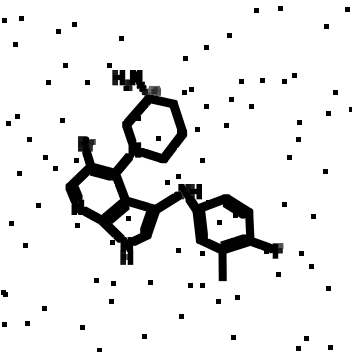 Cc1cc(Nc2c[nH]c3ncc(Br)c(N4CCC[C@@H](N)C4)c23)ccc1F